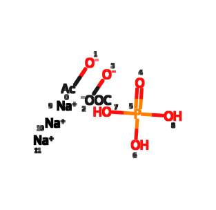 CC(=O)[O-].O=C([O-])[O-].O=P(O)(O)O.[Na+].[Na+].[Na+]